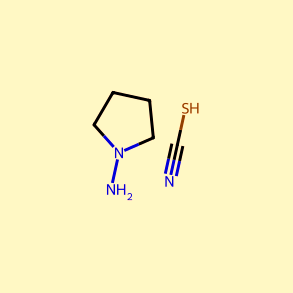 N#CS.NN1CCCC1